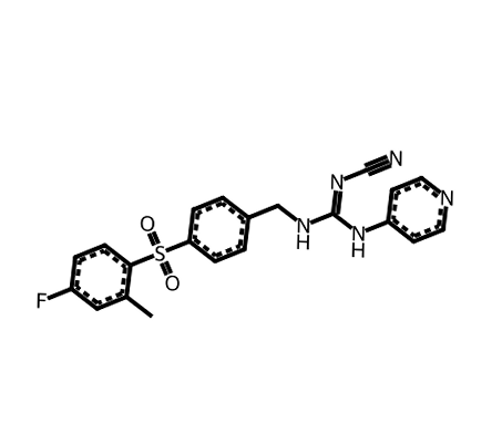 Cc1cc(F)ccc1S(=O)(=O)c1ccc(CNC(=NC#N)Nc2ccncc2)cc1